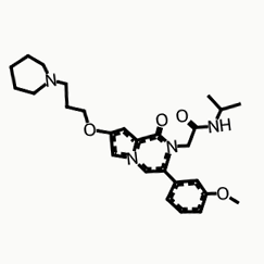 COc1cccc(-c2cn3cc(OCCCN4CCCCC4)cc3c(=O)n2CC(=O)NC(C)C)c1